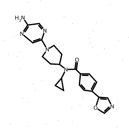 Nc1cnc(N2CCC(N(C(=O)c3ccc(-c4cnco4)cc3)C3CC3)CC2)cn1